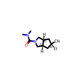 CC[C@]1(C#N)C[C@H]2CN(C(=O)N(C)C)C[C@H]2C1